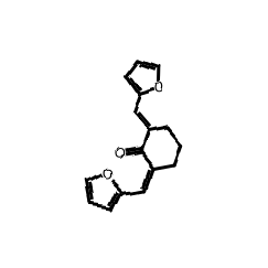 O=C1C(=Cc2ccco2)CCCC1=Cc1ccco1